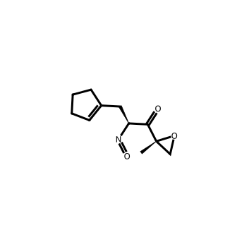 C[C@]1(C(=O)[C@H](CC2=CCCC2)N=O)CO1